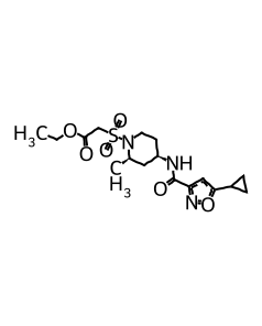 CCOC(=O)CS(=O)(=O)N1CC[C@@H](NC(=O)c2cc(C3CC3)on2)C[C@H]1C